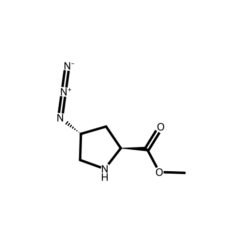 COC(=O)[C@@H]1C[C@@H](N=[N+]=[N-])CN1